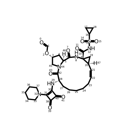 O=CO[C@@H]1C[C@H]2C(=O)N[C@]3(C(=O)NS(=O)(=O)C4CC4)C[C@H]3/C=C\CCCCC[C@H](Nc3c(N4CCCCC4)c(=O)c3=O)C(=O)N2C1